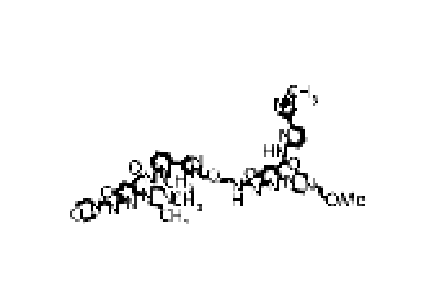 COCCN1CCN(c2nc3nc(NCCOCn4cc(-c5cccc(NC(=O)c6cc7oc(N8CCOCC8)nc7nc6N6CC(C)N(C)C(C)C6)n5)cn4)oc3cc2C(=O)Nc2cccc(-c3cnn(C)c3)n2)CC1